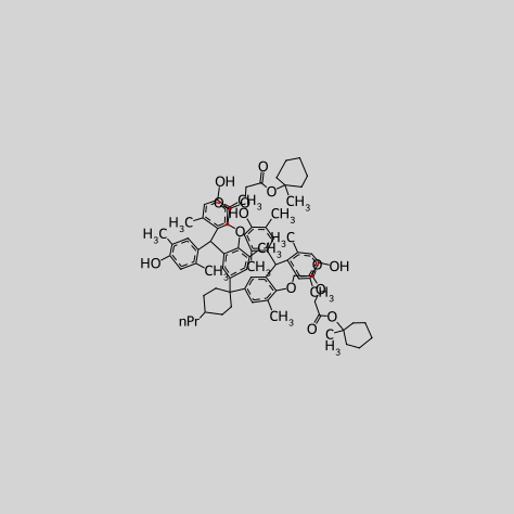 CCCC1CCC(c2cc(C)c(OCC(=O)OCC(=O)OC3(C)CCCCC3)c(C(c3cc(C)c(O)cc3C)c3cc(C)c(O)cc3C)c2)(c2cc(C)c(OCC(=O)OCC(=O)OC3(C)CCCCC3)c(C(c3cc(C)c(O)cc3C)c3cc(C)c(O)cc3C)c2)CC1